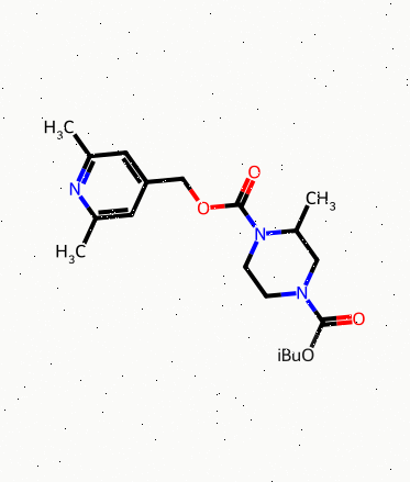 Cc1cc(COC(=O)N2CCN(C(=O)OCC(C)C)CC2C)cc(C)n1